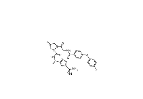 CC(NC(=O)[C@@H]1C[C@@H](C)CN1C(=O)CNC(=O)c1ccc(Oc2ccc(F)cc2)cc1)c1cc(C(=N)N)cs1